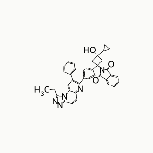 CCc1nnc2ccc3nc(-c4ccc([C@]5(N6C(=O)c7ccccc7C6=O)C[C@@](O)(C6CC6)C5)cc4)c(-c4ccccc4)cc3n12